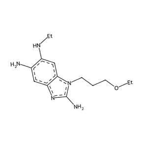 CCNc1cc2c(cc1N)nc(N)n2CCCOCC